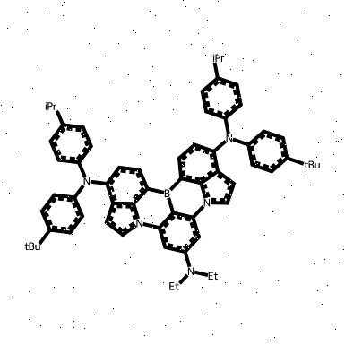 CCN(CC)c1cc2c3c(c1)-n1ccc4c(N(c5ccc(C(C)C)cc5)c5ccc(C(C)(C)C)cc5)ccc(c41)B3c1ccc(N(c3ccc(C(C)C)cc3)c3ccc(C(C)(C)C)cc3)c3ccn-2c13